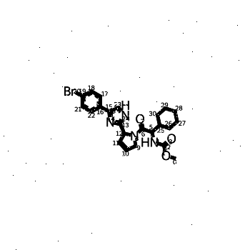 COC(=O)NC(C(=O)N1CC=CC1c1nc(-c2ccc(Br)cc2)c[nH]1)C1CCCCC1